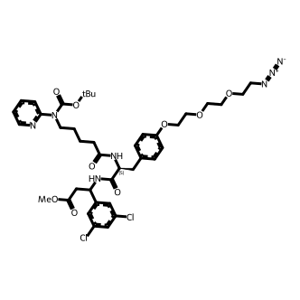 COC(=O)CC(NC(=O)[C@H](Cc1ccc(OCCOCCOCCN=[N+]=[N-])cc1)NC(=O)CCCCN(C(=O)OC(C)(C)C)c1ccccn1)c1cc(Cl)cc(Cl)c1